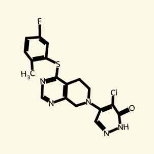 Cc1ccc(F)cc1Sc1ncnc2c1CCN(c1cn[nH]c(=O)c1Cl)C2